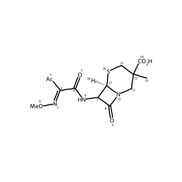 CON=C(C(C)=O)C(=O)NC1C(=O)N2CC(C)(C(=O)O)CS[C@H]12